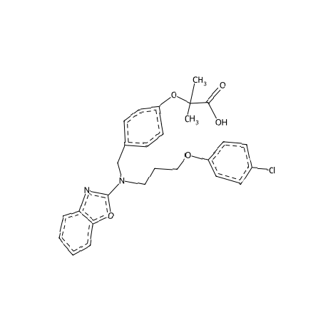 CC(C)(Oc1ccc(CN(CCCOc2ccc(Cl)cc2)c2nc3ccccc3o2)cc1)C(=O)O